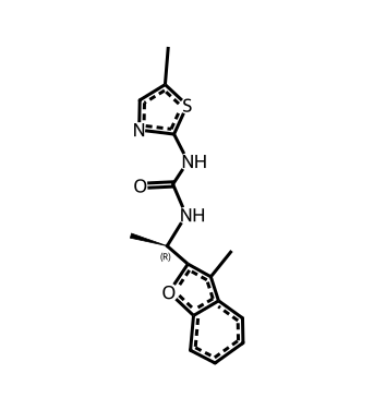 Cc1cnc(NC(=O)N[C@H](C)c2oc3ccccc3c2C)s1